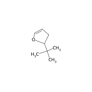 CC(C)(C)C1CC=CO1